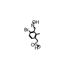 Cc1c(C[SH](=O)=O)ccc(Br)c1C=NO